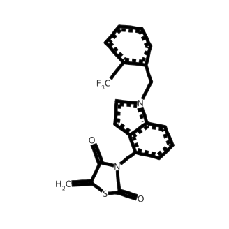 C=C1SC(=O)N(c2cccc3c2ccn3Cc2ccccc2C(F)(F)F)C1=O